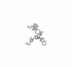 Cc1csc(-c2ccc(C3(CC(=O)NOC4CCCCO4)CCN(S(=O)(=O)N(C)C)CCS3(=O)=O)s2)c1